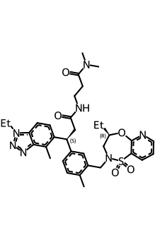 CC[C@@H]1CN(Cc2cc([C@H](CC(=O)NCCC(=O)N(C)C)c3ccc4c(nnn4CC)c3C)ccc2C)S(=O)(=O)c2cccnc2O1